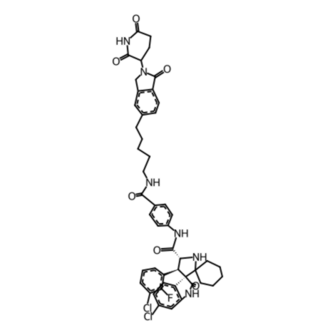 O=C1CCC(N2Cc3cc(CCCCCNC(=O)c4ccc(NC(=O)[C@@H]5NC6(CCCCC6)[C@@]6(C(=O)Nc7cc(Cl)ccc76)[C@H]5c5cccc(Cl)c5F)cc4)ccc3C2=O)C(=O)N1